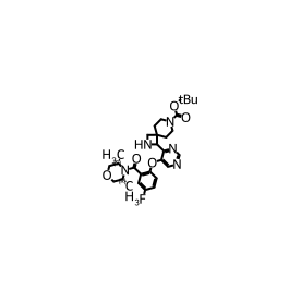 C[C@@H]1COC[C@H](C)N1C(=O)c1cc(F)ccc1Oc1cncnc1C1NCC12CCN(C(=O)OC(C)(C)C)CC2